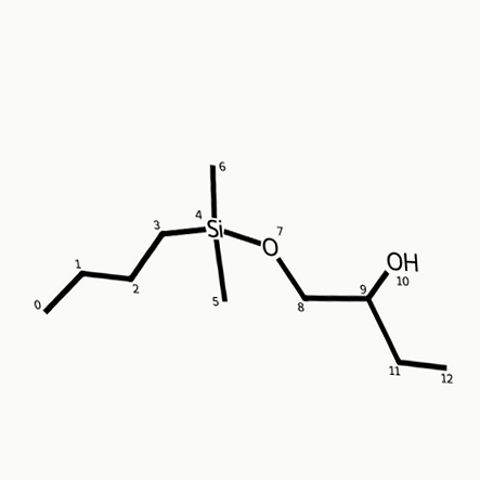 CCCC[Si](C)(C)OCC(O)CC